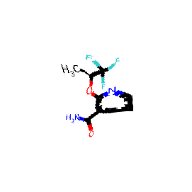 C[C@H](Oc1ncccc1C(N)=O)C(F)(F)F